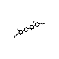 CCCc1ccc(-c2ccc(C3CCC(c4cc(F)c(OCF)c(F)c4)CC3)c(F)c2)c(F)c1